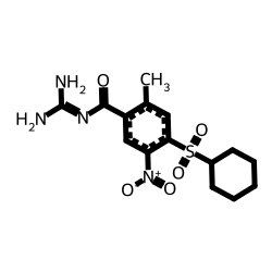 Cc1cc(S(=O)(=O)C2CCCCC2)c([N+](=O)[O-])cc1C(=O)N=C(N)N